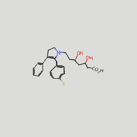 O=C(O)C[C@H](O)C[C@H](O)CCN1CCC(c2ccccc2)=C1c1ccc(F)cc1